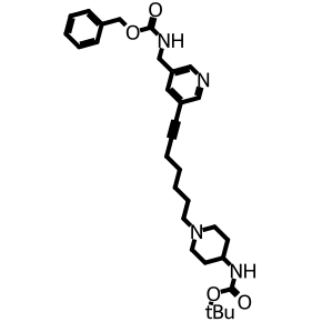 CC(C)(C)OC(=O)NC1CCN(CCCCCC#Cc2cncc(CNC(=O)OCc3ccccc3)c2)CC1